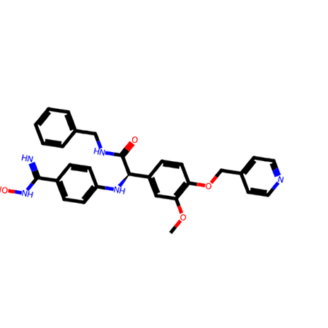 COc1cc([C@@H](Nc2ccc(C(=N)NO)cc2)C(=O)NCc2ccccc2)ccc1OCc1ccncc1